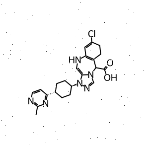 Cc1nccc([C@H]2CC[C@H](N3N=CN4C3=CNC3=C(CCC(Cl)=C3)C4C(=O)O)CC2)n1